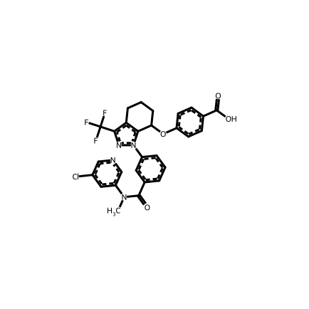 CN(C(=O)c1cccc(-n2nc(C(F)(F)F)c3c2C(Oc2ccc(C(=O)O)cc2)CCC3)c1)c1cncc(Cl)c1